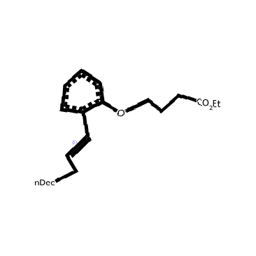 CCCCCCCCCCC/C=C/c1ccccc1OCCCC(=O)OCC